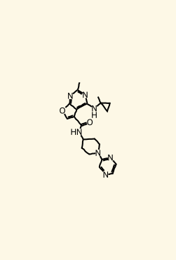 Cc1nc(NC2(C)CC2)c2c(C(=O)NC3CCN(c4cnccn4)CC3)coc2n1